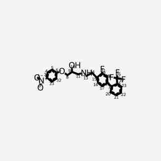 O=[N+]([O-])c1ccc(OCC(O)CNCCc2ccc(-c3ccccc3C(F)(F)F)cc2F)cc1